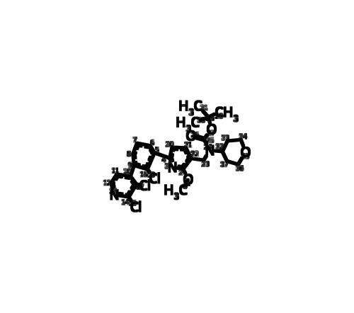 COc1nc(-c2cccc(-c3ccnc(Cl)c3Cl)c2Cl)ccc1CN(C(=O)OC(C)(C)C)C1CCOCC1